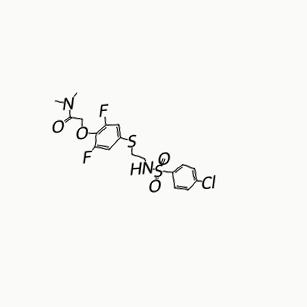 CN(C)C(=O)COc1c(F)cc(SCCNS(=O)(=O)c2ccc(Cl)cc2)cc1F